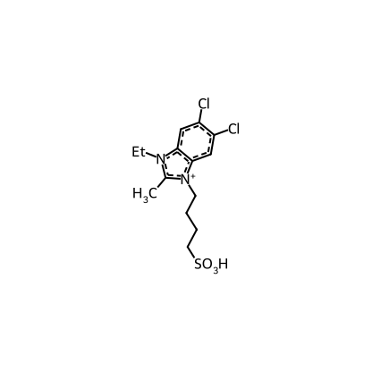 CCn1c(C)[n+](CCCCS(=O)(=O)O)c2cc(Cl)c(Cl)cc21